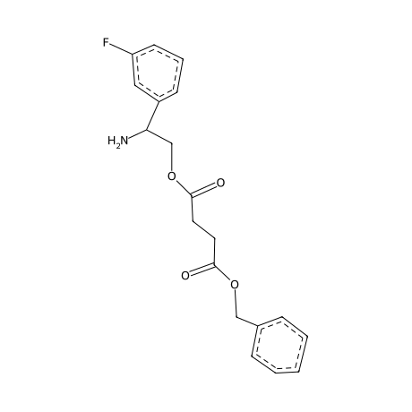 NC(COC(=O)CCC(=O)OCc1ccccc1)c1cccc(F)c1